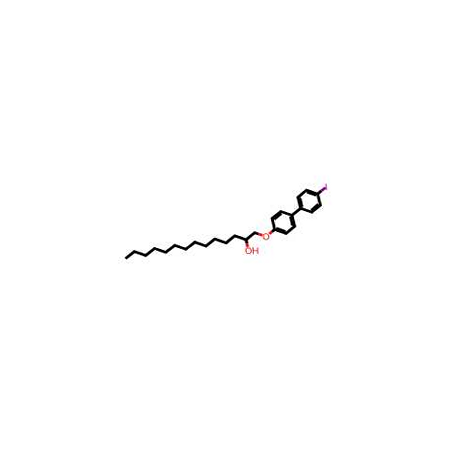 CCCCCCCCCCCCC(O)COc1ccc(-c2ccc(I)cc2)cc1